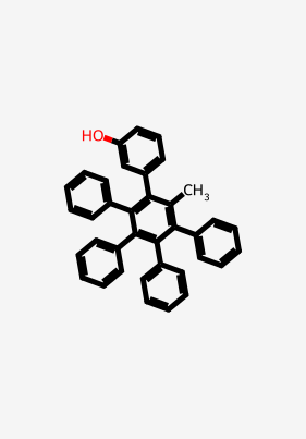 Cc1c(-c2ccccc2)c(-c2ccccc2)c(-c2ccccc2)c(-c2ccccc2)c1-c1cccc(O)c1